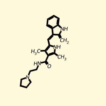 C=c1[nH]c2ccccc2/c1=C/c1[nH]c(C)c(C(=O)NCCN2CCCC2)c1C